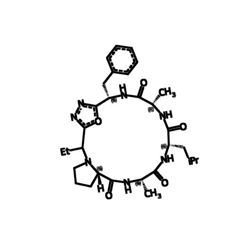 CCC1c2nnc(o2)[C@H](Cc2ccccc2)NC(=O)[C@H](C)NC(=O)[C@H](CC(C)C)NC(=O)[C@H](C)NC(=O)[C@@H]2CCCN12